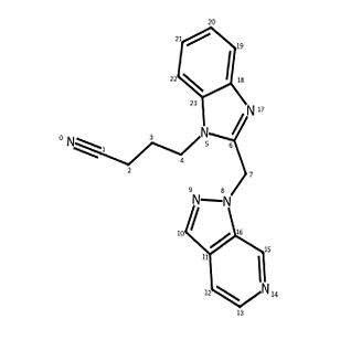 N#CCCCn1c(Cn2ncc3ccncc32)nc2ccccc21